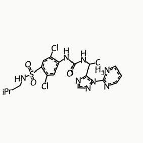 CC(C)CNS(=O)(=O)c1cc(Cl)c(NC(=O)NC(C)c2ncnn2-c2ncccn2)cc1Cl